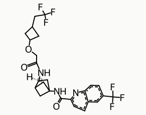 O=C(COC1CC(CC(F)(F)F)C1)N[C@H]1CC2(NC(=O)c3ccc4cc(C(F)(F)F)ccc4n3)CC1C2